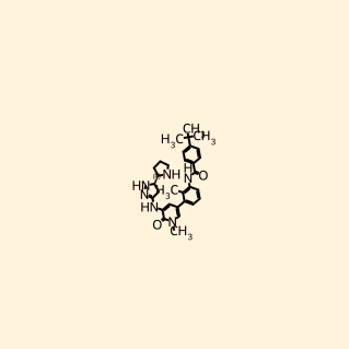 Cc1c(NC(=O)c2ccc(C(C)(C)C)cc2)cccc1-c1cc(NC2=NNC([C@H]3CCCN3)C2)c(=O)n(C)c1